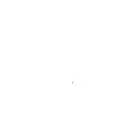 CC(C)(Oc1ccccc1)C(=O)O[C@H](CC(=O)[O-])C[N+](C)(C)C